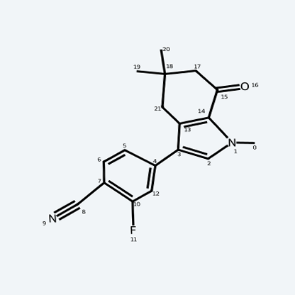 Cn1cc(-c2ccc(C#N)c(F)c2)c2c1C(=O)CC(C)(C)C2